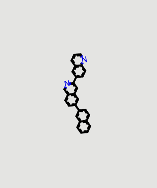 c1ccc2cc(-c3ccc4cnc(-c5ccc6ncccc6c5)cc4c3)ccc2c1